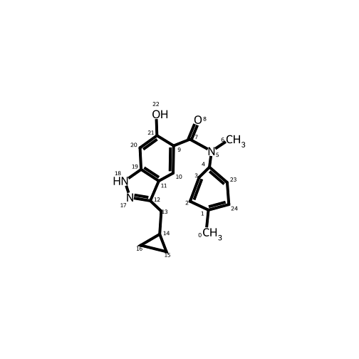 Cc1ccc(N(C)C(=O)c2cc3c(CC4CC4)n[nH]c3cc2O)cc1